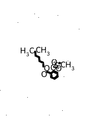 CCS(=O)(=O)Oc1ccccc1C(=O)OCCCCCC(C)C